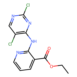 CCOC(=O)c1cccnc1Nc1nc(Cl)ncc1Cl